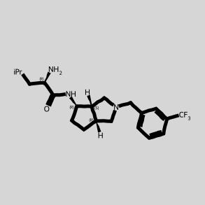 CC(C)C[C@@H](N)C(=O)N[C@@H]1CC[C@H]2CN(Cc3cccc(C(F)(F)F)c3)C[C@H]21